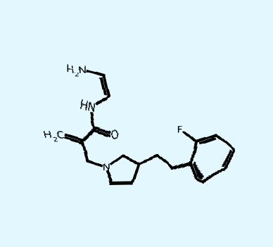 C=C(CN1CCC(CCc2ccccc2F)C1)C(=O)N/C=C\N